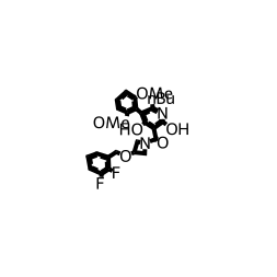 CCCCc1nc(O)c(C(=O)N2CC(OCc3cccc(F)c3F)C2)c(O)c1-c1c(OC)cccc1OC